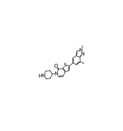 Cc1cc(-c2cc3ccn(C4CCNCC4)c(=O)c3s2)cc2cn(C)nc12